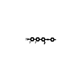 CCc1cc(-c2ccc(-c3ccc(C#N)c(F)c3)c(F)c2)ccc1C#Cc1ccc(C)cc1